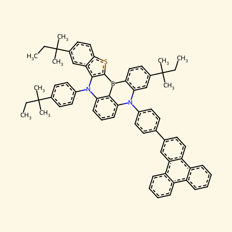 CCC(C)(C)c1ccc(N2c3cccc4c3B(c3ccc(C(C)(C)CC)cc3N4c3ccc(-c4ccc5c6ccccc6c6ccccc6c5c4)cc3)c3sc4ccc(C(C)(C)CC)cc4c32)cc1